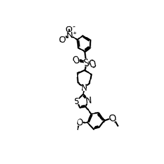 COc1ccc(OC)c(-c2csc(N3CCC(S(=O)(=O)c4cccc([N+](=O)[O-])c4)CC3)n2)c1